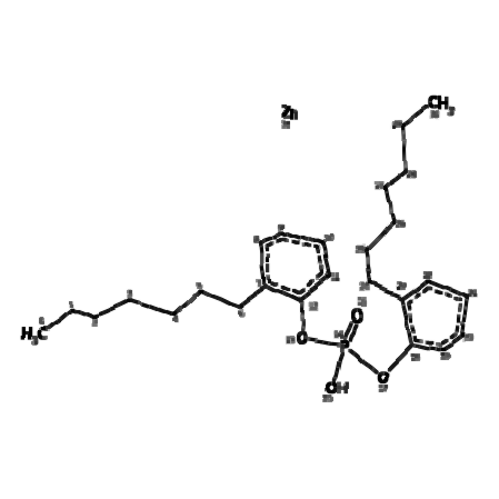 CCCCCCCc1ccccc1OP(=O)(O)Oc1ccccc1CCCCCCC.[Zn]